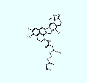 CC[C@@]1(O)C(=O)OCc2c1cc1n(c2=O)Cc2c-1nc1cc(F)c(C)c3c1c2[C@@H](NC(=O)CC(C)OCNC(=O)CN)CC3